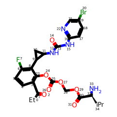 CCC(=O)c1ccc(F)c(C2CC2NC(=O)Nc2ccc(Br)cn2)c1OC(=O)OCOC(=O)[C@@H](N)C(C)C